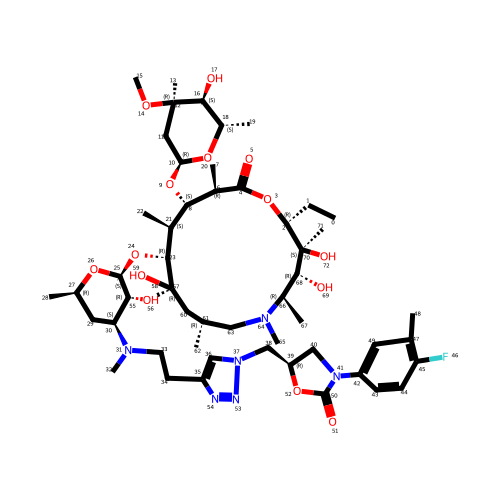 CC[C@H]1OC(=O)[C@H](C)[C@@H](O[C@H]2C[C@@](C)(OC)[C@@H](O)[C@H](C)O2)[C@H](C)[C@@H](O[C@@H]2O[C@H](C)C[C@H](N(C)CCc3cn(C[C@H]4CN(c5ccc(F)c(C)c5)C(=O)O4)nn3)[C@H]2O)[C@](C)(O)C[C@@H](C)CN(C)[C@H](C)[C@@H](O)[C@]1(C)O